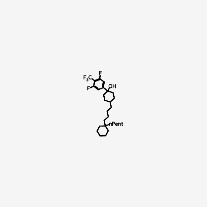 CCCCCC1(CCCCC2CCC(O)(c3cc(F)c(C(F)(F)F)c(F)c3)CC2)CCCCC1